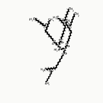 C=CCCCCCCCC(=O)OC(C/C=C\CCCCCCCCOC(=O)CCN(CCC(=O)OCCCCCCCC/C=C\CC(CCCCCC)OC(=O)CCCCCCCC=C)CCN(C)CCN(CCC(=O)OCCCCCCCC/C=C\CC(CCCCCC)OC(=O)CCCCCCCC=C)CCC(=O)OCCCCCCCC/C=C\CC(CCCCCC)OC(=O)CCCCCCCC=C)CCCCCC